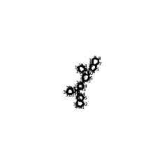 CC1(N(c2ccc3ccccc3c2)C2C=CC=CC2)CC=C(c2ccc(N(c3ccccc3)c3ccc4c(c3)CCC=C4)cc2)CC1